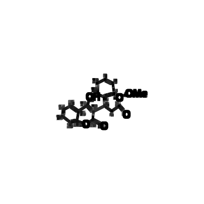 COOC(=O)CC(c1ccccc1)c1c(O)c2ccccc2oc1=O